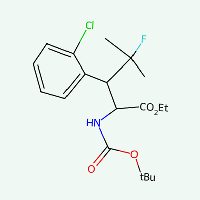 CCOC(=O)C(NC(=O)OC(C)(C)C)C(c1ccccc1Cl)C(C)(C)F